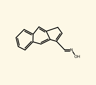 O/N=C/C1=CCc2cc3ccccc3cc21